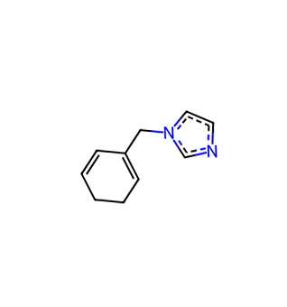 C1=CC(Cn2ccnc2)=CCC1